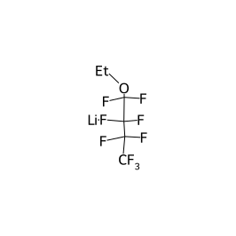 CCOC(F)(F)C(F)(F)C(F)(F)C(F)(F)F.[Li]